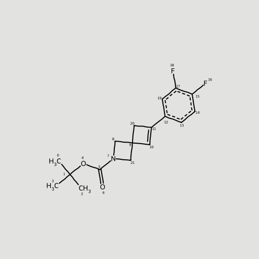 CC(C)(C)OC(=O)N1CC2(C=C(c3ccc(F)c(F)c3)C2)C1